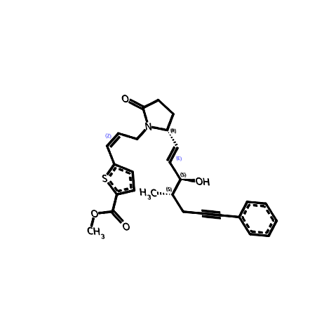 COC(=O)c1ccc(/C=C\CN2C(=O)CC[C@@H]2/C=C/[C@@H](O)[C@@H](C)CC#Cc2ccccc2)s1